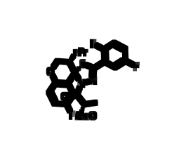 CCC[C@@H]1COc2ccc(F)cc2[C@@]12SC(c1cc(F)ccc1F)=NN2C(=O)[C@H](C)OC